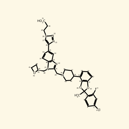 CC1(c2ccc(Cl)cc2F)Oc2cccc(C3CCN(Cc4nc5cc(-c6cn(CCC(=O)O)nn6)ccc5n4C[C@@H]4CCO4)CC3)c2O1